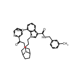 COc1cccc2c(C(=O)NCc3cccc(C)c3)cn(CCCN3C4CCC3CN(CC(=O)c3ccccn3)C4)c12